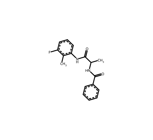 Cc1c(F)cccc1NC(=O)C(C)NC(=O)c1ccccc1